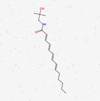 CCCCCC=CC=CC=C/C=C/C(=O)NCC(C)(C)O